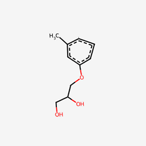 Cc1[c]ccc(OCC(O)CO)c1